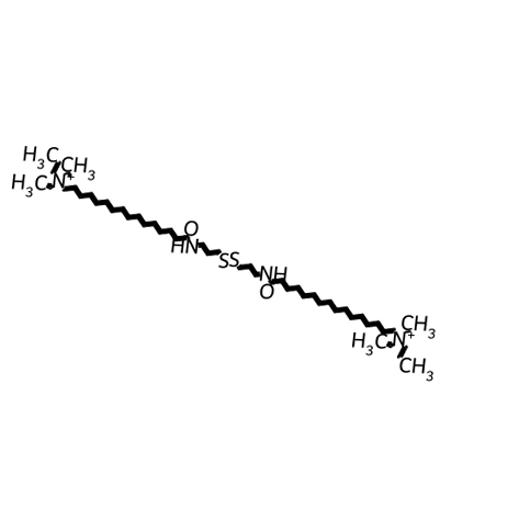 CCC[N+](CC)(CC)CCCCCCCCCCCCCCCC(=O)NCCCSSCCCNC(=O)CCCCCCCCCCCCCCC[N+](CC)(CC)CCC